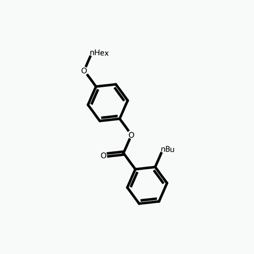 CCCCCCOc1ccc(OC(=O)c2ccccc2CCCC)cc1